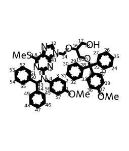 COc1ccc(N(c2nc(SC)c3ncn(COC(CO)COC(c4ccccc4)(c4ccccc4)c4ccc(OC)cc4)c3n2)C(c2ccccc2)c2ccccc2)cc1